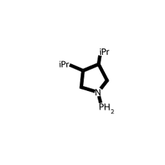 CC(C)C1CN(P)CC1C(C)C